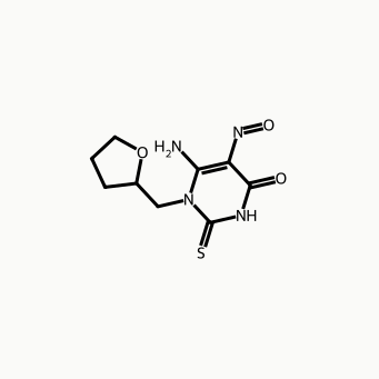 Nc1c(N=O)c(=O)[nH]c(=S)n1CC1CCCO1